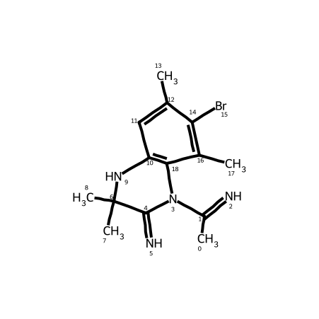 CC(=N)N1C(=N)C(C)(C)Nc2cc(C)c(Br)c(C)c21